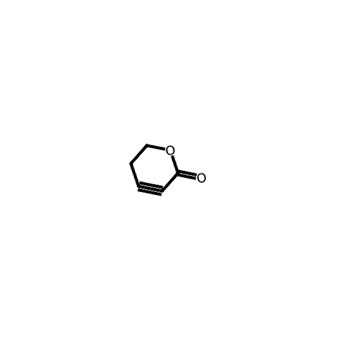 O=C1C#CCCO1